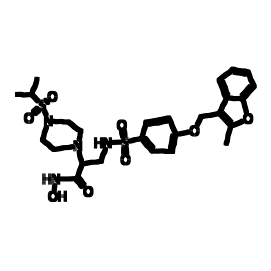 Cc1oc2ccccc2c1COc1ccc(S(=O)(=O)NCC(C(=O)NO)N2CCN(S(=O)(=O)C(C)C)CC2)cc1